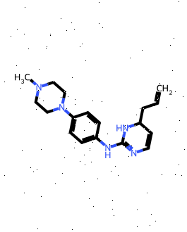 C=CCC1C=CN=C(Nc2ccc(N3CCN(C)CC3)cc2)N1